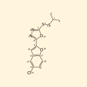 CC(C)SSc1nnc(-c2cc3cc(Cl)ccc3o2)o1